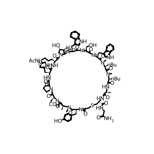 CCCC[C@H]1C(=O)N(C)[C@@H](CCCC)C(=O)N[C@@H](C)C(=O)N[C@H](C(=O)NCC(N)=O)CSCC(=O)N[C@@H](Cc2ccc(O)cc2)C(=O)N(C)[C@@H](C)C(=O)N[C@@H](CC(=O)O)C(=O)N2CCC[C@H]2C(=O)N[C@@H](Cc2cnc[nH]2)C(=O)N[C@@H](CCCNC(C)=O)C(=O)N2C[C@H](O)C[C@@]2(C=O)N[C@@H](Cc2c[nH]c3ccccc23)C(=O)N[C@@H](CO)C(=O)N[C@@H](Cc2c[nH]c3ccccc23)C(=O)N1C